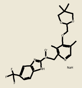 Cc1cnc(C[S+]([O-])c2nc3cc(C(F)(F)F)ccc3[nH]2)c(C)c1OCC1OCC(C)(C)CO1.[NaH]